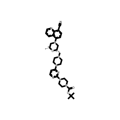 C[C@@H]1CN(c2ccc(C#N)c3ncccc23)C[C@H](CN2CCN(c3ccnc(N4CCN(C(=O)OC(C)(C)C)CC4)n3)CC2)O1